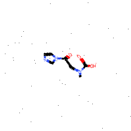 CN(CC(=O)n1ccnc1)C(=O)O